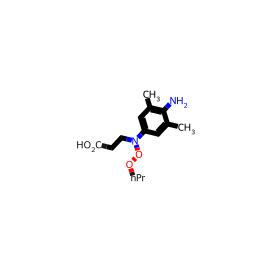 CCCOON(CCC(=O)O)c1cc(C)c(N)c(C)c1